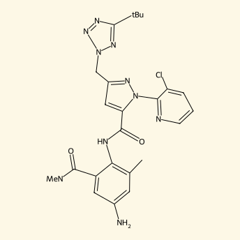 CNC(=O)c1cc(N)cc(C)c1NC(=O)c1cc(Cn2nnc(C(C)(C)C)n2)nn1-c1ncccc1Cl